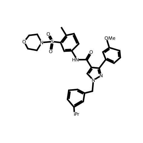 COc1cccc(-c2nn(Cc3cccc(C(C)C)c3)cc2C(=O)Nc2ccc(C)c(S(=O)(=O)N3CCOCC3)c2)c1